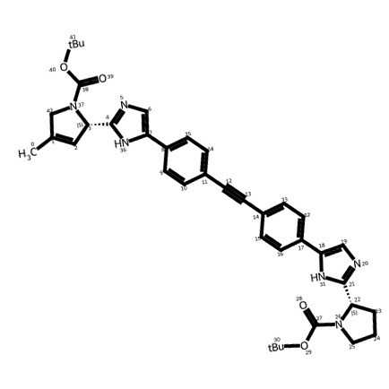 CC1=C[C@@H](c2ncc(-c3ccc(C#Cc4ccc(-c5cnc([C@@H]6CCCN6C(=O)OC(C)(C)C)[nH]5)cc4)cc3)[nH]2)N(C(=O)OC(C)(C)C)C1